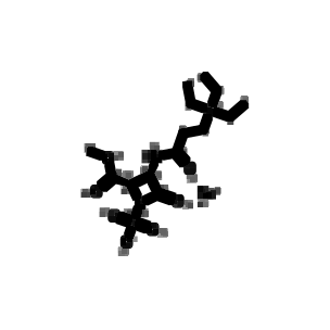 CC[Si](CC)(CC)CCC(=O)N[C@H]1C(=O)N(S(=O)(=O)[O-])[C@H]1C(=O)OC.[Na+]